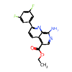 CCOC(=O)c1cnc(N)c2nc(-c3cc(F)cc(F)c3)ccc12